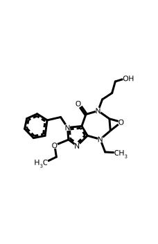 CCOc1nc2c(n1Cc1ccccc1)C(=O)N(CCCO)C1OC1N2CC